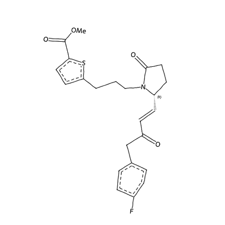 COC(=O)c1ccc(CCCN2C(=O)CC[C@@H]2C=CC(=O)Cc2ccc(F)cc2)s1